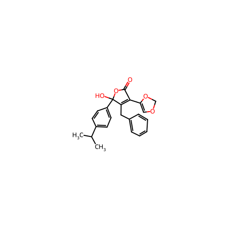 CC(C)c1ccc(C2(O)OC(=O)C(C3=COCO3)=C2Cc2ccccc2)cc1